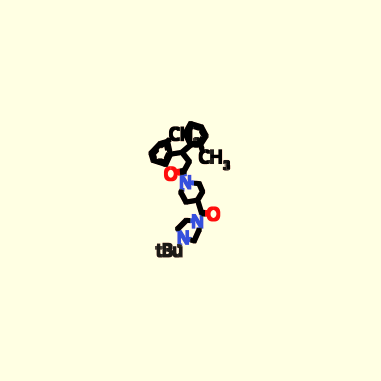 Cc1ccccc1C(CC(=O)N1CCC(C(=O)N2CCN(C(C)(C)C)CC2)CC1)c1ccccc1C